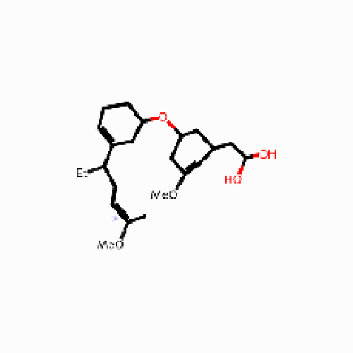 CCC(C/C=C(\C)OC)C1=CCCC(OC2CC(OC)=CC(CC(O)O)C2)C1